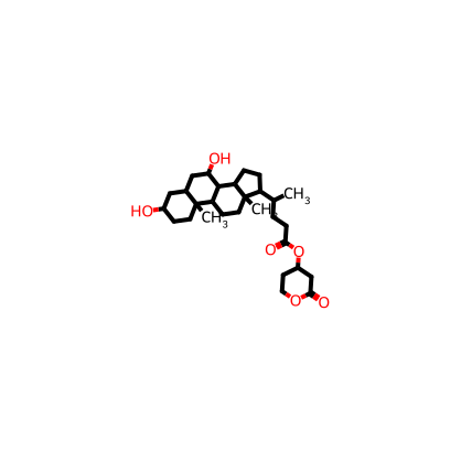 CC(CCC(=O)OC1CCOC(=O)C1)C1CCC2C3C(O)CC4CC(O)CCC4(C)C3CCC12C